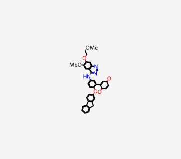 COCCOc1cc2ncnc(Nc3ccc(Oc4ccc5c(c4)Cc4ccccc4-5)c(C4=CC(=O)C=CC4=O)c3)c2cc1OC